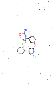 NC1=N[C@](CF)(c2cc(Oc3cc(-c4ccccc4)cc(Cl)n3)ccc2F)CCO1